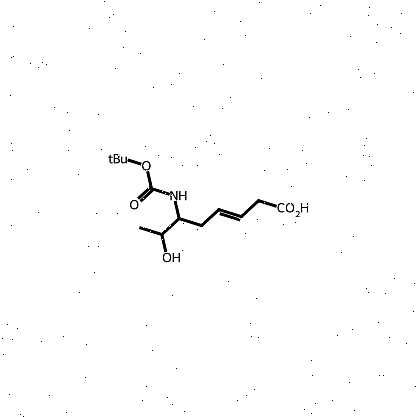 CC(O)C(C/C=C/CC(=O)O)NC(=O)OC(C)(C)C